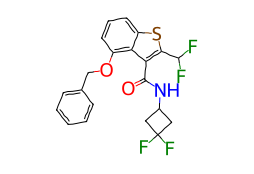 O=C(NC1CC(F)(F)C1)c1c(C(F)F)sc2cccc(OCc3ccccc3)c12